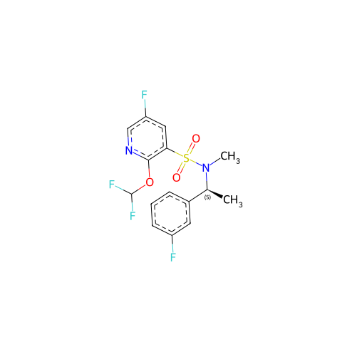 C[C@@H](c1cccc(F)c1)N(C)S(=O)(=O)c1cc(F)cnc1OC(F)F